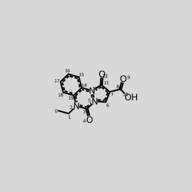 CCn1c(=O)n2cc(C(=O)O)c(=O)n2c2ccccc21